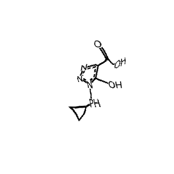 O=C(O)c1nnn(PC2CC2)c1O